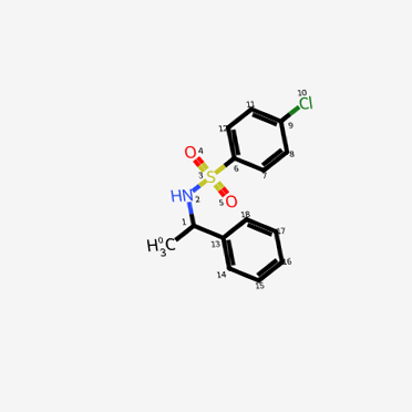 CC(NS(=O)(=O)c1ccc(Cl)cc1)c1ccccc1